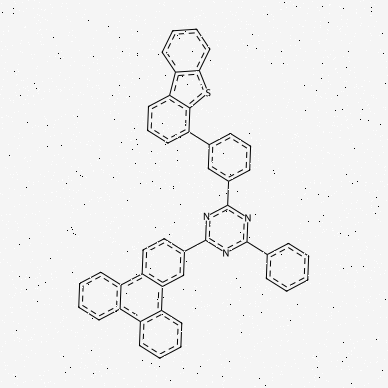 c1ccc(-c2nc(-c3cccc(-c4cccc5c4sc4ccccc45)c3)nc(-c3ccc4c5ccccc5c5ccccc5c4c3)n2)cc1